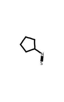 S=NC1CCCC1